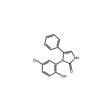 O=c1[nH]cc(-c2ccccc2)n1-c1cc(Cl)ccc1O